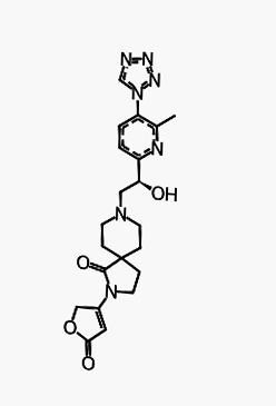 Cc1nc([C@@H](O)CN2CCC3(CC2)CCN(C2=CC(=O)OC2)C3=O)ccc1-n1cnnn1